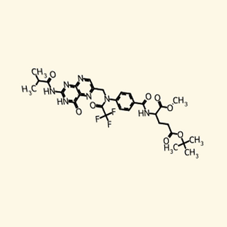 COC(=O)C(CCC(=O)OC(C)(C)C)NC(=O)c1ccc(N(Cc2cnc3nc(NC(=O)C(C)C)[nH]c(=O)c3n2)C(=O)C(F)(F)F)cc1